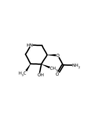 C[C@H]1CNC[C@@H](OC(N)=O)[C@]1(C)O